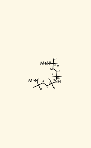 CNC(C)(C)CCC(C)(C)NC(C)(C)CCC(C)(C)NC